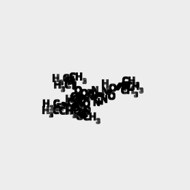 C[Si](C)(C)CCOC(=O)Nc1ncnc2c1ncn2[C@@H]1O[C@H](C(O)S(C)(=O)=O)[C@](O)(C(=O)OCC[Si](C)(C)C)[C@]1(O)C(=O)OCC[Si](C)(C)C